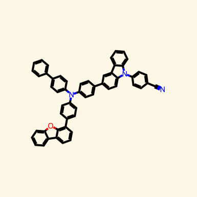 N#Cc1ccc(-n2c3ccccc3c3cc(-c4ccc(N(c5ccc(-c6ccccc6)cc5)c5ccc(-c6cccc7c6oc6ccccc67)cc5)cc4)ccc32)cc1